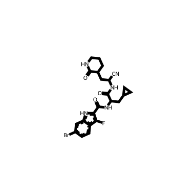 N#CC(CC1CCCNC1=O)NC(=O)C(CC1CC1)NC(=O)c1[nH]c2cc(Br)ccc2c1F